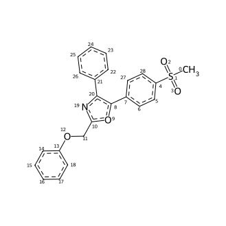 CS(=O)(=O)c1ccc(-c2oc(COc3ccccc3)nc2-c2ccccc2)cc1